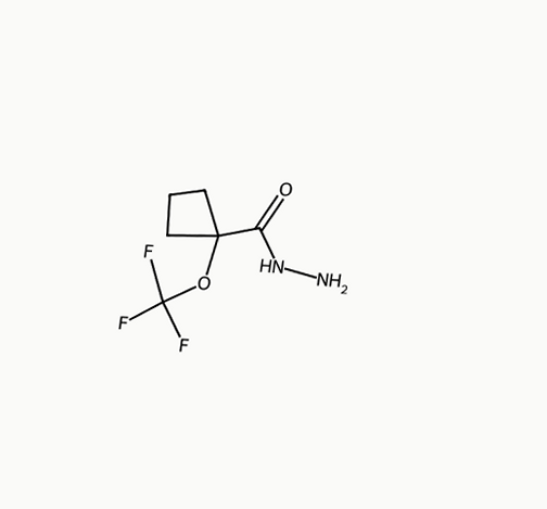 NNC(=O)C1(OC(F)(F)F)CCC1